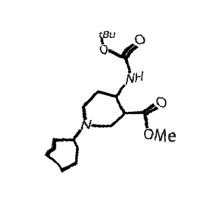 COC(=O)C1CN(C2CCCC2)CCC1NC(=O)OC(C)(C)C